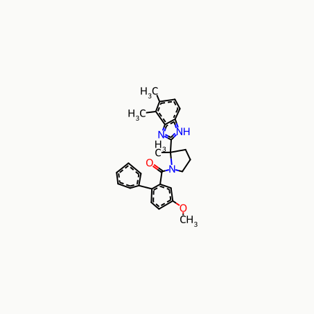 COc1ccc(-c2ccccc2)c(C(=O)N2CCCC2(C)c2nc3c(C)c(C)ccc3[nH]2)c1